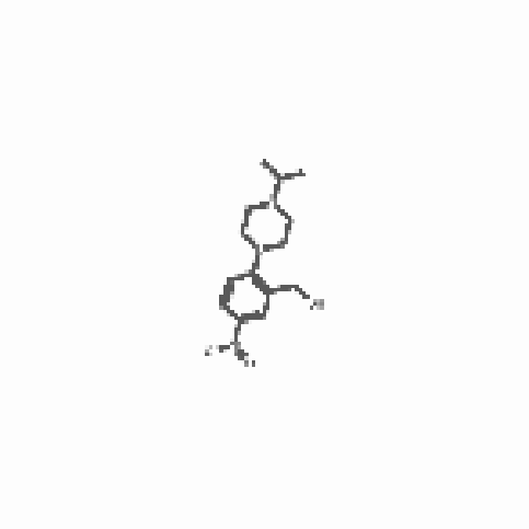 CC(C)N1CCN(c2ccc([N+](=O)[O-])cc2CO)CC1